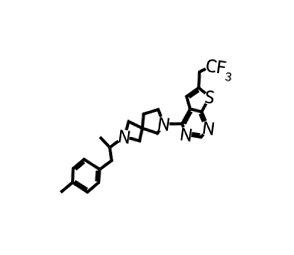 Cc1ccc(CC(C)N2CC3(CCN(c4ncnc5sc(CC(F)(F)F)cc45)C3)C2)cc1